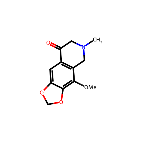 COc1c2c(cc3c1OCO3)C(=O)CN(C)C2